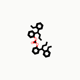 CCCC(c1ccccc1CC)c1ccccc1OC(=O)Oc1ccccc1C(CCC)c1ccccc1CC